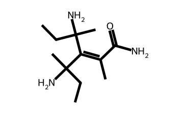 CCC(C)(N)C(=C(C)C(N)=O)C(C)(N)CC